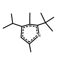 Cc1cc(C(C)C)c(C)c(C(C)(C)C)n1